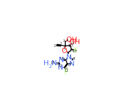 C#CC1(CO)OC(n2cnc3c(F)nc(N)nc32)C(F)C1O